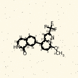 COc1ccc(-c2ccc3cc[nH]c(=O)c3c2)c2cc(C(F)(F)F)nn12